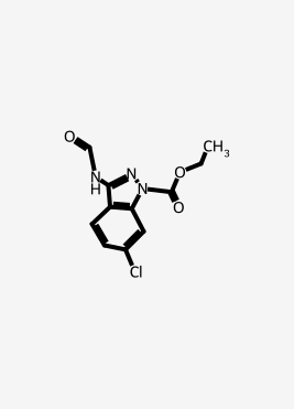 CCOC(=O)n1nc(NC=O)c2ccc(Cl)cc21